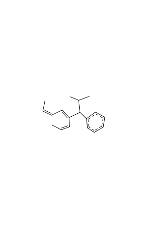 C\C=C/C=C(\C=C/C)C(c1ccccc1)C(C)C